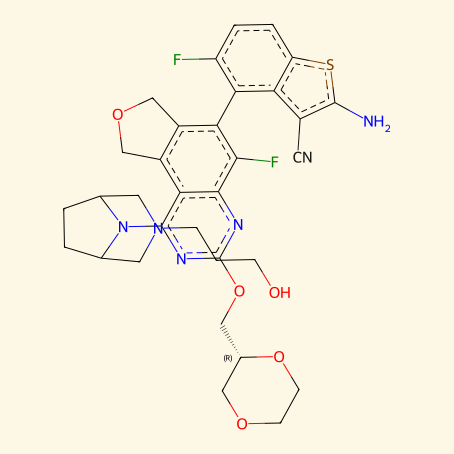 N#Cc1c(N)sc2ccc(F)c(-c3c4c(c5c(N6C7CCC6CN(CCCO)C7)nc(OC[C@H]6COCCO6)nc5c3F)COC4)c12